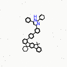 CC1(C)c2ccccc2-c2cc3c(cc21)-c1c(-c2ccc(-c4cccc(C5=NC(C6=CCCC=C6)NC(c6ccccc6)=C5)c4)cc2)cccc1C31CCCCC1